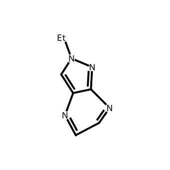 CCn1cc2nccnc2n1